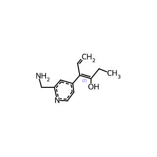 C=C/C(=C(/O)CC)c1ccnc(CN)c1